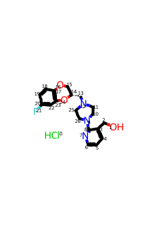 Cl.OCc1cccnc1N1CCN(C[C@H]2COc3ccc(F)cc3O2)CC1